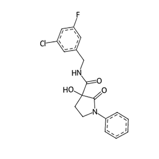 O=C(NCc1cc(F)cc(Cl)c1)C1(O)CCN(c2ccccc2)C1=O